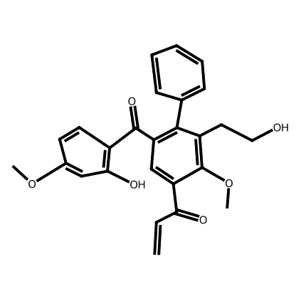 C=CC(=O)c1cc(C(=O)c2ccc(OC)cc2O)c(-c2ccccc2)c(CCO)c1OC